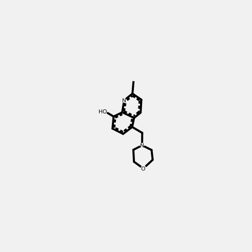 Cc1ccc2c(CN3CCOCC3)ccc(O)c2n1